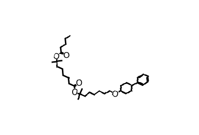 CCCCC(=O)OC(C)(C)CCCCCC(=O)OC(C)(C)CCCCCCOC1CCC(c2ccccc2)CC1